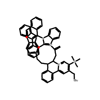 C=C1CC2C(CCc3ccc4c(oc5ccccc54)c3-c3n(-c4c(-c5ccccc5)ccc5ccccc45)c4ccccc4[n+]31)c1ccccc1-c1cc(CC(C)(C)C)c([Si](C)(C)C)c[n+]12